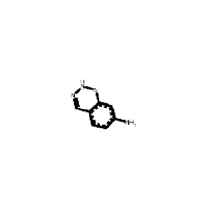 Nc1ccc2c(c1)SNN=C2